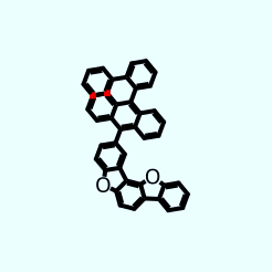 c1ccc(-c2ccccc2-c2c3ccccc3c(-c3ccc4oc5ccc6c7ccccc7oc6c5c4c3)c3ccccc23)cc1